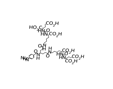 [N-]=[N+]=Nc1ccc(C(=O)NC(CCC(=O)NCCCC[C@H](NC(=O)NC(CCC(=O)O)C(=O)O)C(=O)O)CCC(=O)NCCCC[C@H](NC(=O)NC(CCC(=O)O)C(=O)O)C(=O)O)cc1